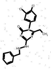 CCc1nc(NNCc2ccccc2)nc(=O)n1-c1ccc(Cl)c(Cl)c1